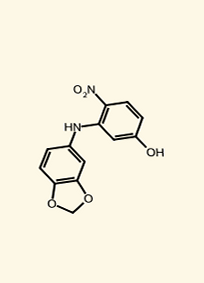 O=[N+]([O-])c1ccc(O)cc1Nc1ccc2c(c1)OCO2